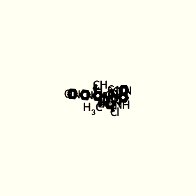 CCc1cc(Nc2ncc(Cl)c(Nc3ccc4nccnc4c3NS(C)(=O)=O)n2)c(OC)cc1N1CCC(N2CCOCC2)CC1